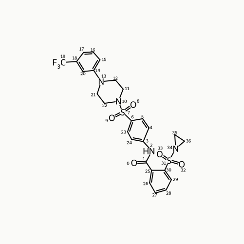 O=C(Nc1ccc(S(=O)(=O)N2CCN(c3cccc(C(F)(F)F)c3)CC2)cc1)c1ccccc1S(=O)(=O)N1CC1